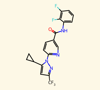 O=C(Nc1cccc(F)c1F)c1ccc(-n2nc(C(F)(F)F)cc2C2CC2)nc1